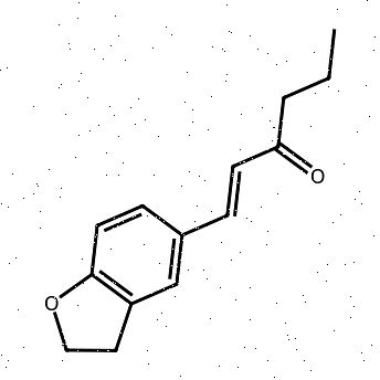 CCCC(=O)/C=C/c1ccc2c(c1)CCO2